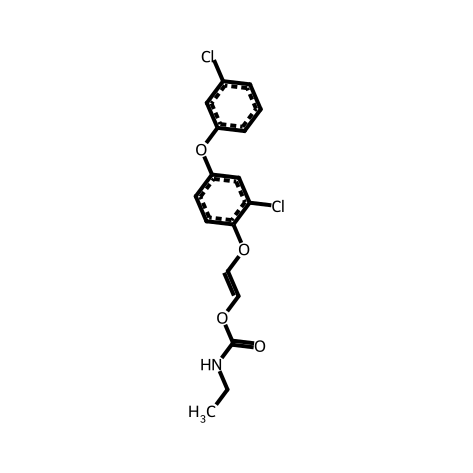 CCNC(=O)O/C=C/Oc1ccc(Oc2cccc(Cl)c2)cc1Cl